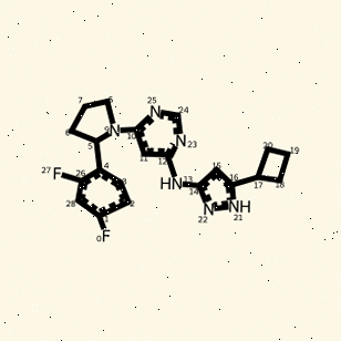 Fc1ccc(C2CCCN2c2cc(Nc3cc(C4CCC4)[nH]n3)ncn2)c(F)c1